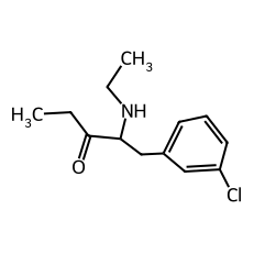 CCNC(Cc1cccc(Cl)c1)C(=O)CC